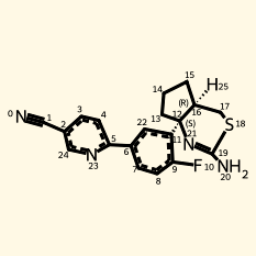 N#Cc1ccc(-c2ccc(F)c([C@]34CCC[C@H]3CSC(N)=N4)c2)nc1